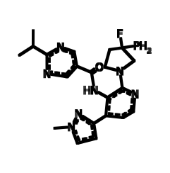 CC(C)c1ncc(C(=O)Nc2c(-c3ccn(C)n3)ccnc2N2CCC(F)(P)C2)cn1